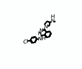 CNC1CCN(c2nnc(Nc3ccc(Cl)cc3)c3ccccc23)C1